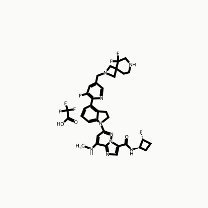 CNc1cc(N2CCc3c(-c4ncc(CN5CC6(CCNCC6(F)F)C5)cc4F)cccc32)nn2c(C(=O)N[C@@H]3CC[C@H]3F)cnc12.O=C(O)C(F)(F)F